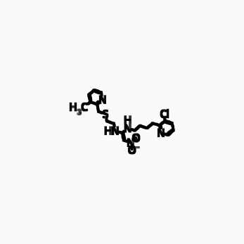 Cc1cccnc1CSCCNC(=C[N+](=O)[O-])NCCCCc1ncccc1Cl